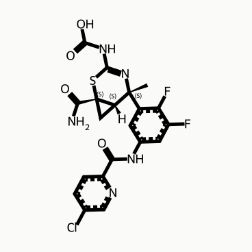 C[C@]1(c2cc(NC(=O)c3ccc(Cl)cn3)cc(F)c2F)N=C(NC(=O)O)S[C@@]2(C(N)=O)C[C@H]21